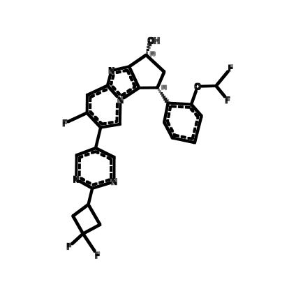 O[C@@H]1C[C@H](c2ccccc2OC(F)F)c2c1nc1cc(F)c(-c3cnc(C4CC(F)(F)C4)nc3)cn21